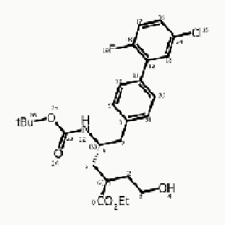 CCOC(=O)[C@H](CCO)C[C@@H](Cc1ccc(-c2cc(Cl)ccc2F)cc1)NC(=O)OC(C)(C)C